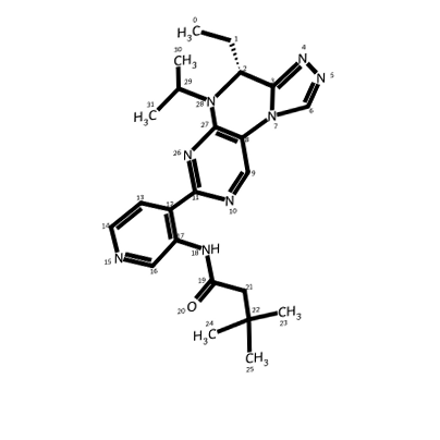 CC[C@@H]1c2nncn2-c2cnc(-c3ccncc3NC(=O)CC(C)(C)C)nc2N1C(C)C